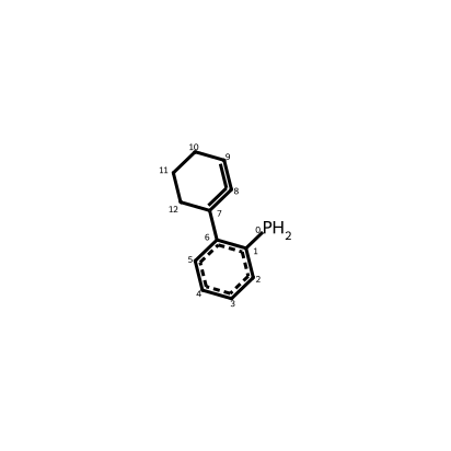 Pc1ccccc1C1=C=CCCC1